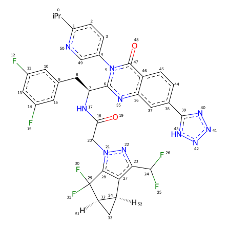 CC(C)c1ccc(-n2c([C@H](Cc3cc(F)cc(F)c3)NC(=O)Cn3nc(C(F)F)c4c3C(F)(F)[C@@H]3C[C@H]43)nc3cc(-c4nnn[nH]4)ccc3c2=O)cn1